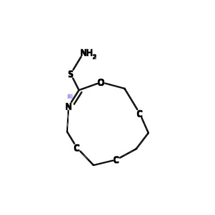 NS/C1=N/CCCCCCCCO1